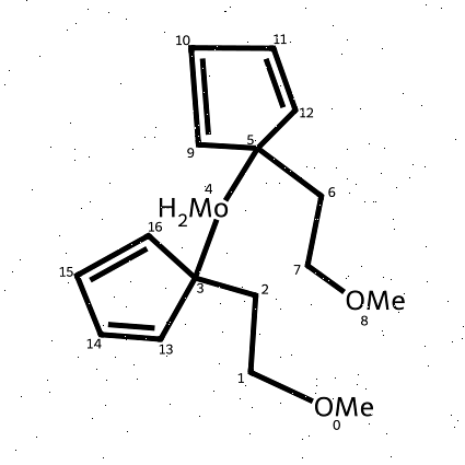 COCC[C]1([MoH2][C]2(CCOC)C=CC=C2)C=CC=C1